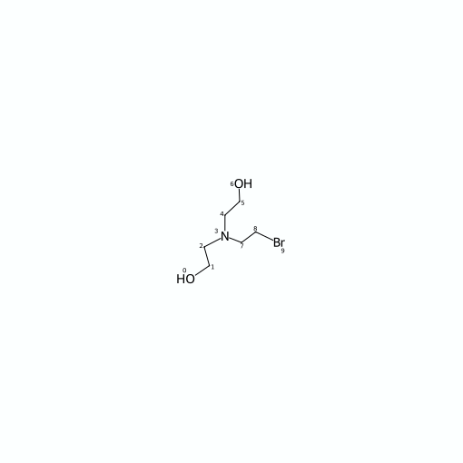 OCCN(CCO)CCBr